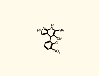 CCCC1=C(C#N)C(c2cccc([N+](=O)[O-])c2Cl)c2c[nH]nc2N1